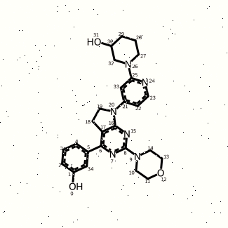 Oc1cccc(-c2nc(N3CCOCC3)nc3c2CCN3c2ccnc(N3CCCC(O)C3)c2)c1